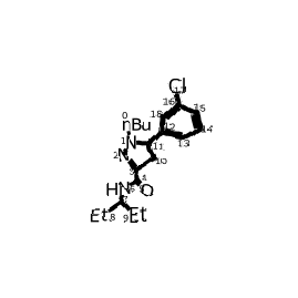 CCCCN1N=C(C(=O)NC(CC)CC)CC1c1cccc(Cl)c1